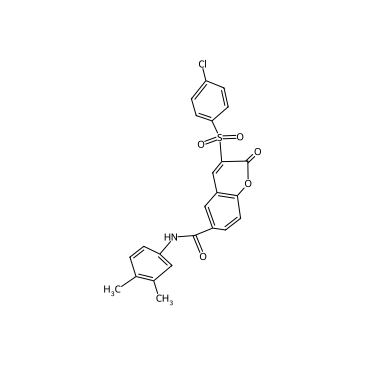 Cc1ccc(NC(=O)c2ccc3oc(=O)c(S(=O)(=O)c4ccc(Cl)cc4)cc3c2)cc1C